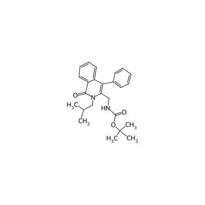 CC(C)Cn1c(CNC(=O)OC(C)(C)C)c(-c2ccccc2)c2ccccc2c1=O